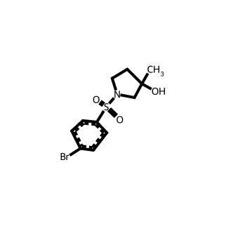 CC1(O)CCN(S(=O)(=O)c2ccc(Br)cc2)C1